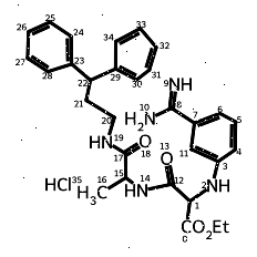 CCOC(=O)C(Nc1cccc(C(=N)N)c1)C(=O)NC(C)C(=O)NCCC(c1ccccc1)c1ccccc1.Cl